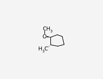 CO[C@H]1CCCC[C@@H]1C